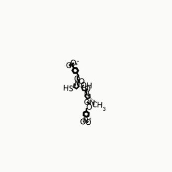 CN(C[C@@H]1CCN(C(=O)CC(O)[C@@H]2C[C@H](S)CN2C(=O)OCc2ccc([N+](=O)[O-])cc2)C1)C(=O)OCc1ccc([N+](=O)[O-])cc1